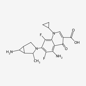 CC1C2C(N)C2CN1c1c(F)c(N)c2c(=O)c(C(=O)O)cn(C3CC3)c2c1F